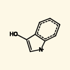 OC1=C[N]c2ccccc21